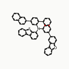 c1ccc(-c2ccc(-c3ccc4ccccc4c3)cc2N(c2cccc(-c3ccc4oc5ccccc5c4c3)c2)c2cccc3c2sc2ccccc23)cc1